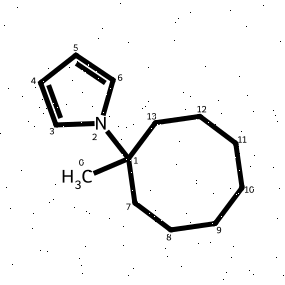 CC1(n2cccc2)CCCCCCC1